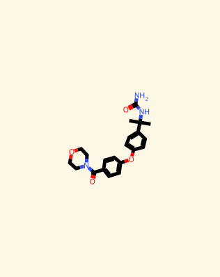 CC(C)(NC(N)=O)c1ccc(Oc2ccc(C(=O)N3CCOCC3)cc2)cc1